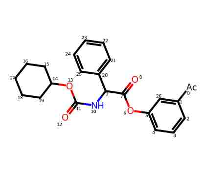 [CH2]C(=O)c1cccc(OC(=O)C(NC(=O)OC2CCCCC2)c2ccccc2)c1